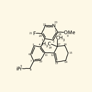 COc1cc(-c2ccc(CC(C)C)cc2C2=CCCCC2(C)C)c(F)cn1